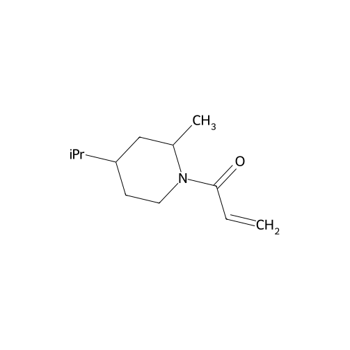 C=CC(=O)N1CCC(C(C)C)CC1C